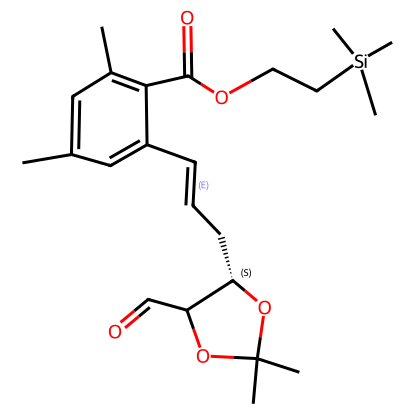 Cc1cc(C)c(C(=O)OCC[Si](C)(C)C)c(/C=C/C[C@@H]2OC(C)(C)OC2C=O)c1